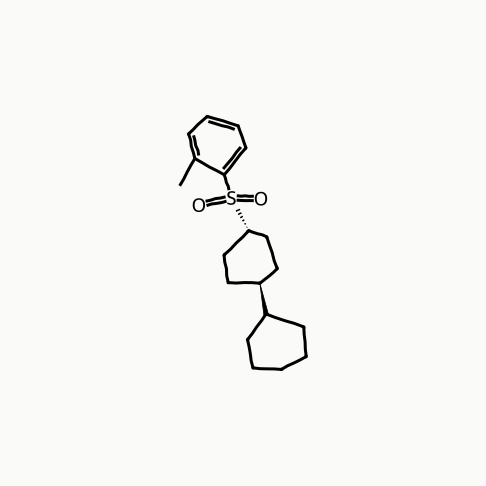 Cc1ccccc1S(=O)(=O)[C@H]1CC[C@H](C2CCCCC2)CC1